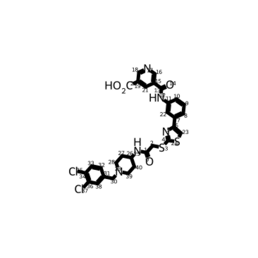 O=C(CSc1nc(-c2cccc(NC(=O)c3cncc(C(=O)O)c3)c2)cs1)NC1CCN(Cc2ccc(Cl)c(Cl)c2)CC1